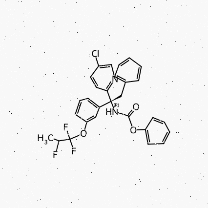 CC(F)C(F)(F)Oc1cccc([C@@](Cc2ccccc2)(NC(=O)Oc2ccccc2)c2ccc(Cl)cn2)c1